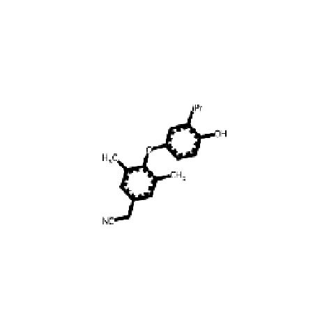 Cc1cc(CC#N)cc(C)c1Oc1ccc(O)c(C(C)C)c1